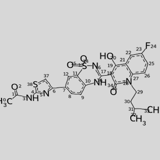 CC(=O)Nc1nc(-c2ccc3c(c2)S(=O)(=O)N=C(c2c(O)c4cc(F)ccc4n(CCC(C)C)c2=O)N3)cs1